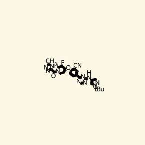 Cc1nnc(C(=O)N2CC[C@H](Oc3ccc(-c4ncnc(Nc5cnn(C(C)(C)C)c5)n4)cc3C#N)[C@@H](F)C2)[nH]1